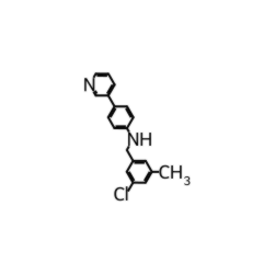 Cc1cc(Cl)cc(CNc2ccc(-c3cccnc3)cc2)c1